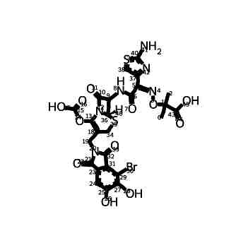 CC(C)(O/N=C(\C(=O)NC1C(=O)N2C(OC(=O)O)=C(CN3C(=O)c4cc(O)c(O)c(Br)c4C3=O)CS[C@@H]12)c1csc(N)n1)C(=O)O